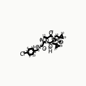 O=C(NCc1ccc(Cl)cc1)c1ncc2n1CCN(CC1(S(=O)(=O)C3(CO)CC3)CC1)C2=O